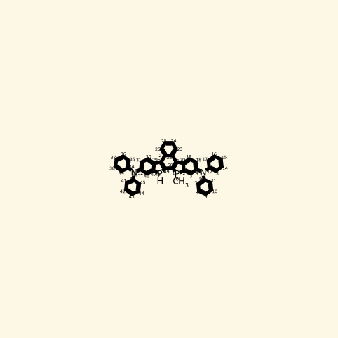 Cp1c2cc(N(c3ccccc3)c3ccccc3)ccc2c2c3ccccc3c3c4ccc(N(c5ccccc5)c5ccccc5)cc4[pH]c3c21